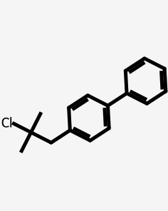 CC(C)(Cl)Cc1ccc(-c2ccccc2)cc1